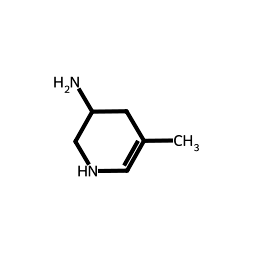 CC1=CNCC(N)C1